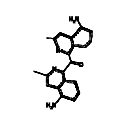 Cc1cc2c(N)cccc2c(C(=O)c2nc(C)cc3c(N)cccc23)n1